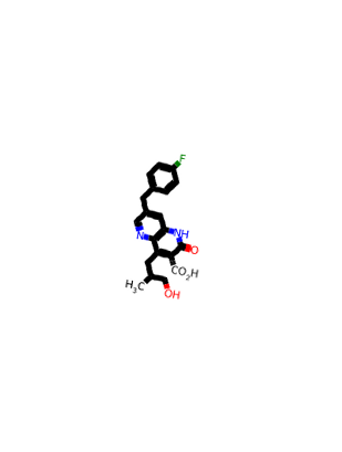 CC(CO)Cc1c(C(=O)O)c(=O)[nH]c2cc(Cc3ccc(F)cc3)cnc12